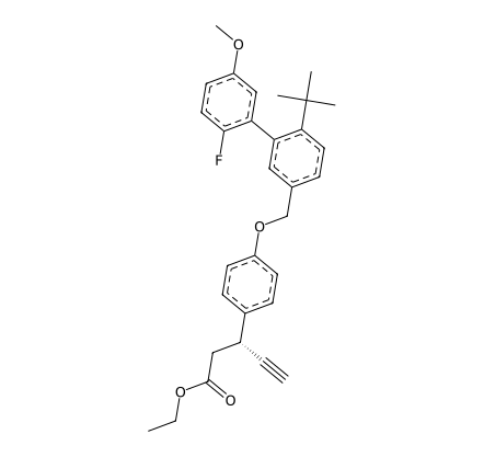 C#C[C@H](CC(=O)OCC)c1ccc(OCc2ccc(C(C)(C)C)c(-c3cc(OC)ccc3F)c2)cc1